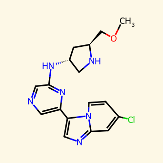 COC[C@@H]1C[C@@H](Nc2cncc(-c3cnc4cc(Cl)ccn34)n2)CN1